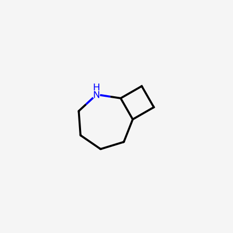 C1CCC2CCC2NC1